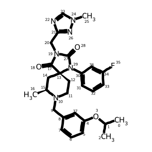 CC(C)Oc1cccc(CN2CC[C@@]3(C[C@@H]2C)C(=O)N(Cc2ncn(C)n2)C(=O)N3c2cccc(F)c2)c1